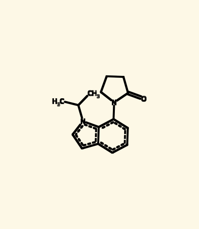 CC(C)n1ccc2cccc(N3CCCC3=O)c21